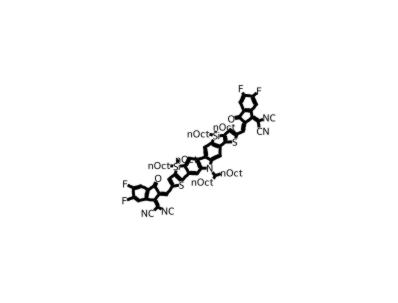 [C-]#[N+]/C(C#N)=C1\C(=C\c2cc3c(s2)-c2cc4c(cc2[Si]3(CCCCCCCC)CCCCCCCC)c2cc3c(cc2n4C(CCCCCCCC)CCCCCCCC)-c2sc(/C=C4\C(=O)c5cc(F)c(F)cc5\C4=C(\C#N)[N+]#[C-])cc2[Si]3(CCCCCCCC)CCCCCCCC)C(=O)c2cc(F)c(F)cc21